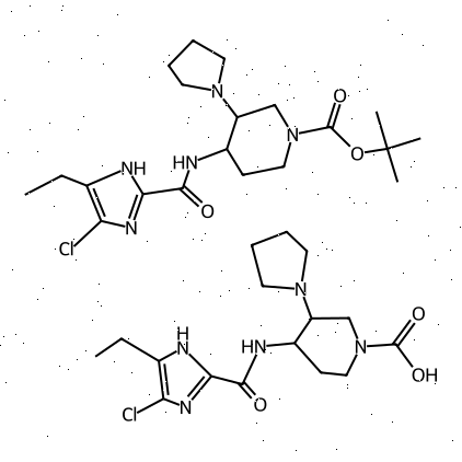 CCc1[nH]c(C(=O)NC2CCN(C(=O)O)CC2N2CCCC2)nc1Cl.CCc1[nH]c(C(=O)NC2CCN(C(=O)OC(C)(C)C)CC2N2CCCC2)nc1Cl